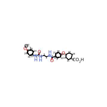 O=C(NCCNC(=O)c1ccc(O[C@H]2CC[C@@H](C(=O)O)CC2)cc1)Nc1ccc(OC(F)(F)F)cc1